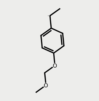 C[CH]c1ccc(OCOC)cc1